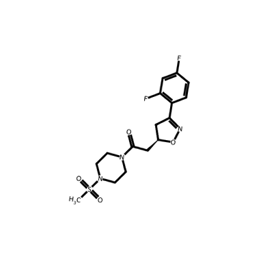 CS(=O)(=O)N1CCN(C(=O)C[C@H]2CC(c3ccc(F)cc3F)=NO2)CC1